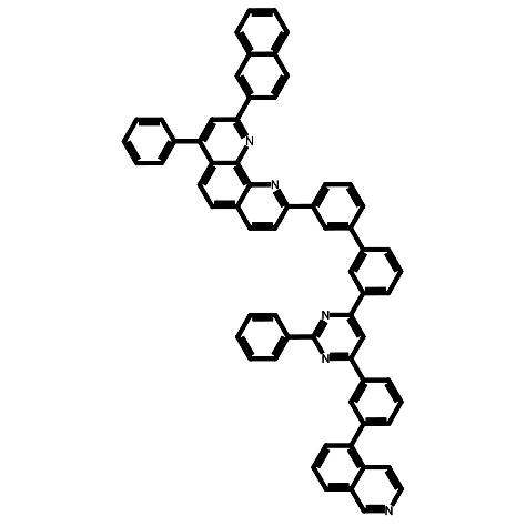 c1ccc(-c2nc(-c3cccc(-c4cccc(-c5ccc6ccc7c(-c8ccccc8)cc(-c8ccc9ccccc9c8)nc7c6n5)c4)c3)cc(-c3cccc(-c4cccc5cnccc45)c3)n2)cc1